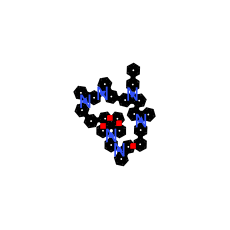 c1ccc(-c2ccc(-n3c4ccccc4c4c(-c5cccc6c5c5ccc(-c7ccc8c(c7)c7ccccc7n8-c7ccc8c(c7)c7ccccc7n8-c7cccc(-c8cccc(-c9cccc(C%10(c%11ccccc%11)c%11ccccc%11N(c%11cccc(-n%12c%13ccccc%13c%13ccccc%13%12)c%11)c%11ccccc%11%10)c9)c8)c7)cc5n6-c5ccc(-c6ccccc6)cc5)cccc43)cc2)cc1